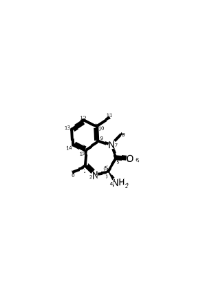 CC1=N[C@H](N)C(=O)N(C)c2c(C)cccc21